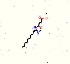 CCCCCCCC/C=C(/NC(=O)CCC(=O)O)N(C)C